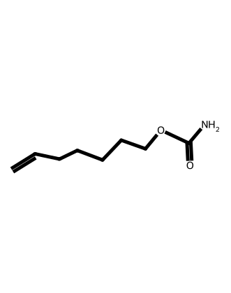 C=CCCCCCOC(N)=O